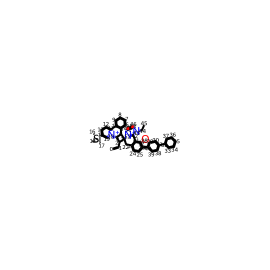 C=CC1C2C(c3ccccc3-c3ccc([Si](C)(C)C)c[n+]32)C12Cc1ccc3c(oc4cc(-c5ccccc5)ccc43)c1-c1n(CC)c3ccccc3[n+]12